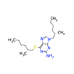 CCCC[C@@H](C)CSc1nc(N)nc2c1ncn2C[C@@H](C)CCCC